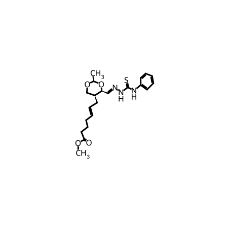 COC(=O)CCCC=CC[C@H]1CO[C@@H](C)O[C@H]1C=NNC(=S)Nc1ccccc1